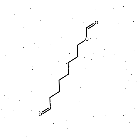 O=CCCCCCCCOC=O